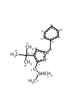 C[SiH](C)Oc1nn(Cc2ccccc2)cc1C(C)(C)C